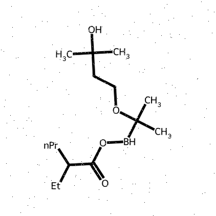 CCCC(CC)C(=O)OBC(C)(C)OCCC(C)(C)O